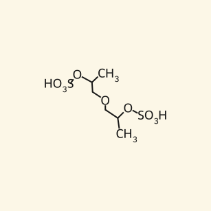 CC(COCC(C)OS(=O)(=O)O)OS(=O)(=O)O